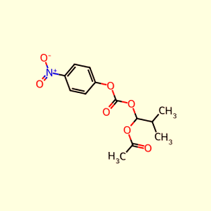 CC(=O)OC(OC(=O)Oc1ccc([N+](=O)[O-])cc1)C(C)C